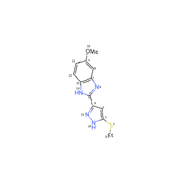 CCSc1cc(-c2nc3cc(OC)ccc3[nH]2)n[nH]1